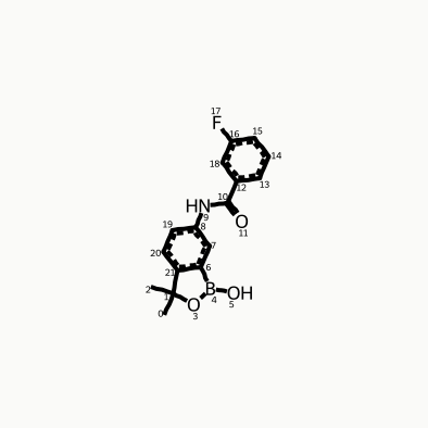 CC1(C)OB(O)c2cc(NC(=O)c3cccc(F)c3)ccc21